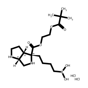 CC(C)(C)C(=O)OCCOC(=O)[C@]1(CCCCB(O)O)NC[C@@H]2NCC[C@@H]21.Cl.Cl